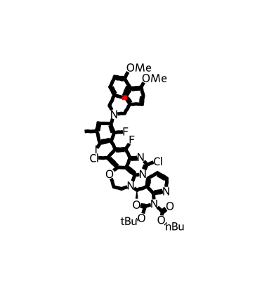 CCCCOC(=O)N(C(=O)OC(C)(C)C)c1ncccc1[C@@H](C)N1CCOc2c(Cl)c(-c3c(F)c(N(Cc4ccc(OC)cc4)Cc4ccc(OC)cc4)cc(C)c3I)c(F)c3nc(Cl)nc1c23